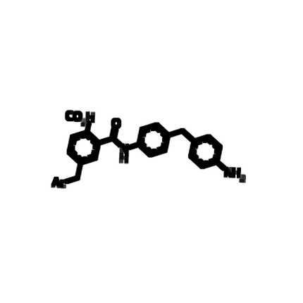 CC(=O)Cc1ccc(C(=O)O)c(C(=O)Nc2ccc(Cc3ccc(N)cc3)cc2)c1